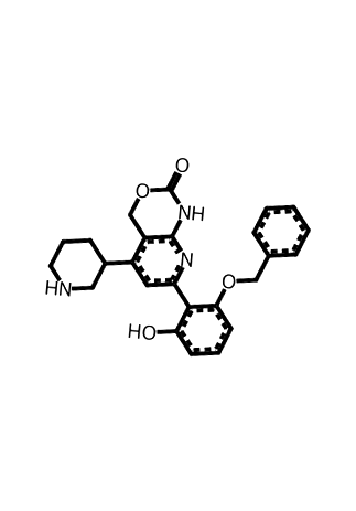 O=C1Nc2nc(-c3c(O)cccc3OCc3ccccc3)cc(C3CCCNC3)c2CO1